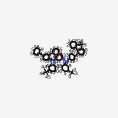 CC(C)(C)c1ccc2c(c1)N(c1ccc(-c3cccc4c3-c3ccccc3C4(C)C)cc1)c1cccc3c1B2c1ccc(C(C)(C)C)cc1N3c1ccc(-c2ccccc2)cc1-c1ccccc1